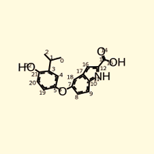 CC(C)c1cc(Oc2ccc3[nH]c(C(=O)O)cc3c2)ccc1O